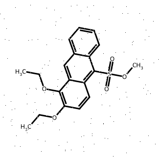 CCOc1ccc2c(S(=O)(=O)OC)c3ccccc3cc2c1OCC